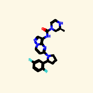 C[C@H]1CN(C(=O)Nc2cnn3ccc(N4CCCC4c4cc(F)ccc4F)nc23)CCN1